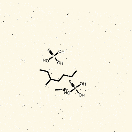 CCCC.CCCCC(C)CC.OP(O)(O)=S.OP(O)(O)=S